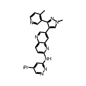 Cc1ccncc1-c1nn(C)cc1-c1cnc2ccc(Nc3cc(C(C)C)cnn3)nc2c1